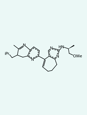 COC[C@H](C)Nc1ncc2c(n1)CCCC=C2c1ccc2c(n1)CC(CC(C)C)C(C)=N2